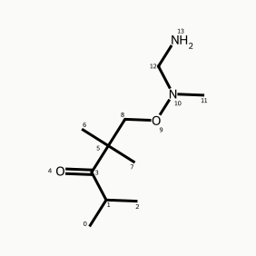 CC(C)C(=O)C(C)(C)CON(C)CN